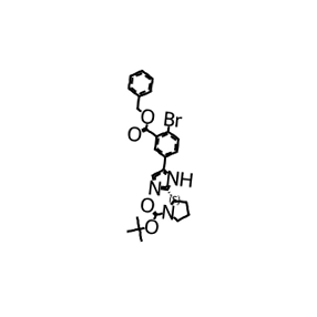 CC(C)(C)OC(=O)N1CCC[C@H]1c1ncc(-c2ccc(Br)c(C(=O)OCc3ccccc3)c2)[nH]1